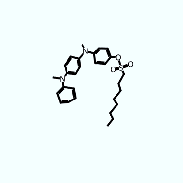 CCCCCCCCS(=O)(=O)Oc1ccc(N(C)c2ccc(N(C)c3ccccc3)cc2)cc1